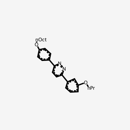 CCCCCCCCOc1ccc(-c2ccc(-c3cccc(OCCC)c3)nn2)cc1